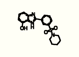 O=S(=O)(c1cccc(-c2nc3cccc(O)c3[nH]2)c1)N1CCCCC1